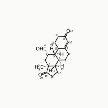 C[C@]12C[C@H](C=O)[C@H]3[C@@H](CCC4=CC(=O)CC[C@@H]43)[C@@H]1CCC2=O